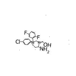 NC1CC[C@](c2ccc(Cl)cc2)(c2cc(F)ccc2F)C[C@H]1CO